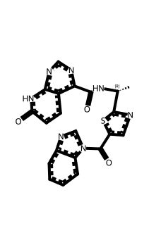 C[C@@H](NC(=O)c1ncnc2[nH]c(=O)ccc12)c1ncc(C(=O)n2cnc3ccccc32)s1